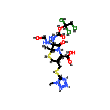 Cn1nnnc1SCC1=C(C(=O)O)N2C(=O)[C@@](NC=O)(NC(=O)OC(Cl)(Cl)CCl)[C@H]2SC1